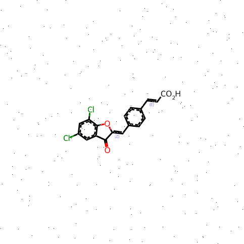 O=C(O)/C=C/c1ccc(/C=C2\Oc3c(Cl)cc(Cl)cc3C2=O)cc1